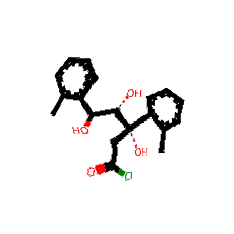 Cc1ccccc1C(O)[C@H](O)[C@](O)(CC(=O)Cl)c1ccccc1C